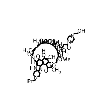 CO[C@H]1/C=C/O[C@@]2(C)Oc3c(C)c(O)c4c(c3C2=O)C2=NC3(CCN(CC(C)C)CC3)NC2=C(NC(=O)/C(C)=C\C=C\[C@H](C)[C@H](O)[C@@H](C)[C@@H](O)[C@@H](C)[C@H](OC(=O)CC(=O)N2CCN(CCO)CC2)[C@@H]1C)C4=O